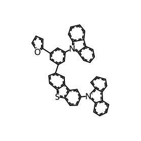 c1coc(-c2cc(-c3ccc4sc5ccc(-n6c7ccccc7c7ccccc76)cc5c4c3)cc(-n3c4ccccc4c4ccccc43)c2)c1